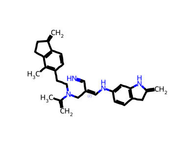 C=C1Cc2ccc(N/C=C(\C=N)CN(CCc3ccc4c(c3C)CCC4=C)C(=C)C)cc2N1